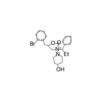 CCC(c1ccccc1)[N+]1(N2CCC(O)CC2)CC(Cc2ccccc2Br)OC1=O